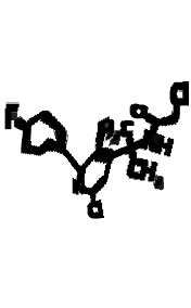 CC(C)(NC(=O)CCl)c1cc(Cl)nc(-c2ccc(F)cc2)c1F